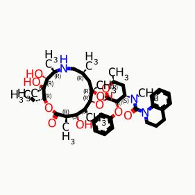 CC[C@H]1OC(=O)[C@H](C)[C@@H](O)[C@H](C)[C@@H](O[C@@H]2O[C@H](C)C[C@H](N(C)C(=O)N3CCCc4ccccc43)[C@H]2Oc2ccccc2)[C@](C)(O)C[C@@H](C)CN[C@H](C)[C@@H](O)[C@]1(C)O